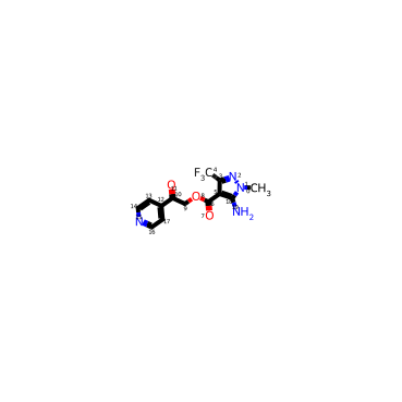 Cn1nc(C(F)(F)F)c(C(=O)OCC(=O)c2ccncc2)c1N